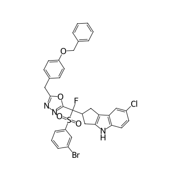 O=S(=O)(c1cccc(Br)c1)C(F)(c1nnc(Cc2ccc(OCc3ccccc3)cc2)o1)C1Cc2[nH]c3ccc(Cl)cc3c2C1